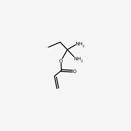 [CH2]CC(N)(N)OC(=O)C=C